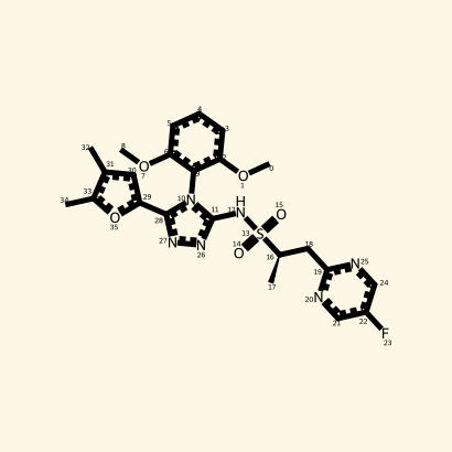 COc1cccc(OC)c1-n1c(NS(=O)(=O)[C@H](C)Cc2ncc(F)cn2)nnc1-c1cc(C)c(C)o1